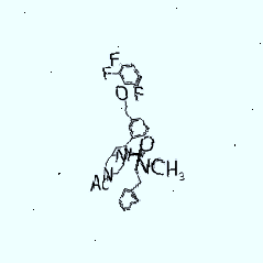 CC(=O)N1CC2CC(c3cccc(CCOc4c(F)ccc(F)c4F)c3)=C(C(=O)N(C)CCc3ccccc3)C(C1)N2